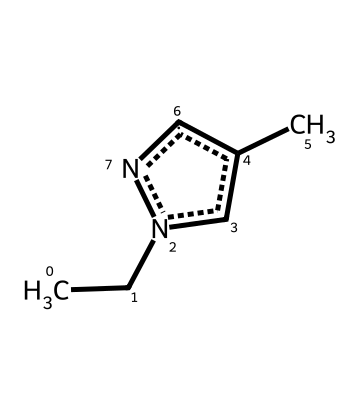 CCn1cc(C)[c]n1